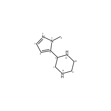 Cn1nccc1C1CNCCN1